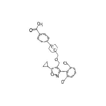 O=C(O)c1ccc(C23CCC(COCc4c(-c5c(Cl)cccc5Cl)noc4C4CC4)(CC2)CC3)cc1